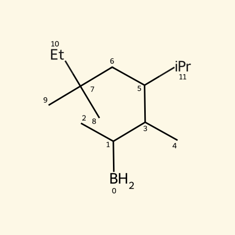 BC(C)C(C)C(CC(C)(C)CC)C(C)C